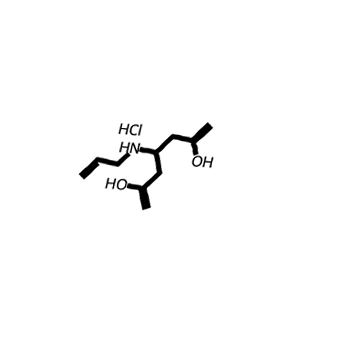 C=CCNC(CC(=C)O)CC(=C)O.Cl